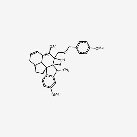 CC[C@]12C=CCN3CC[C@@]4(c5ccc(OC)cc5N(C)[C@H]4C(O)(COCc4ccc(OC)cc4)[C@@H]1OC(C)=O)C32